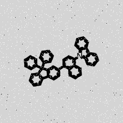 c1ccc(C2(c3ccccc3)c3ccccc3-c3ccc(-c4ccc(-n5c6ccccc6c6ccccc65)c5ccccc45)cc32)cc1